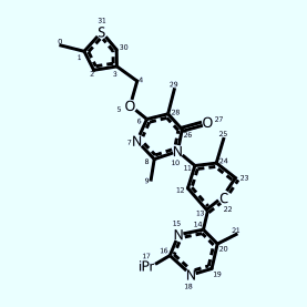 Cc1cc(COc2nc(C)n(-c3cc(-c4nc(C(C)C)ncc4C)ccc3C)c(=O)c2C)cs1